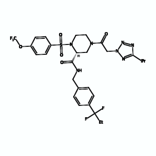 CCC(F)(F)c1ccc(CNC(=O)[C@H]2CN(C(=O)Cn3nnc(C(C)C)n3)CCN2S(=O)(=O)c2ccc(OC(F)(F)F)cc2)cc1